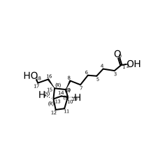 O=C(O)CCCCCC[C@H]1[C@H]2CC[C@H](C2)[C@H]1CCO